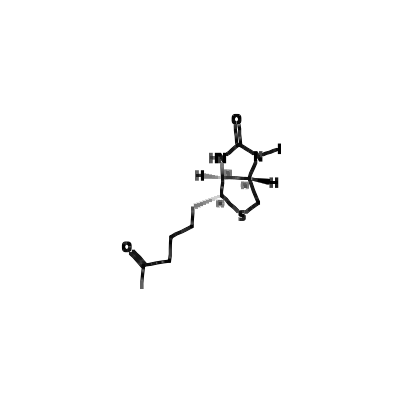 CC(=O)CCCC[C@H]1SC[C@@H]2[C@@H]1NC(=O)N2I